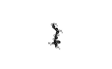 CCc1nc2c(cnn2CC)c(NC2CCOCC2)c1CNC(=O)c1cccc(C(=O)NCc2ccc(C)c(-c3cccc(CN4CCN(C(C)=O)CC4)c3)c2)n1